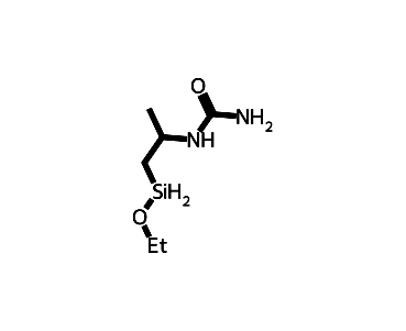 CCO[SiH2]CC(C)NC(N)=O